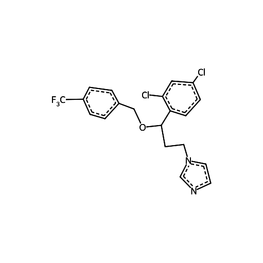 FC(F)(F)c1ccc(COC(CCn2ccnc2)c2ccc(Cl)cc2Cl)cc1